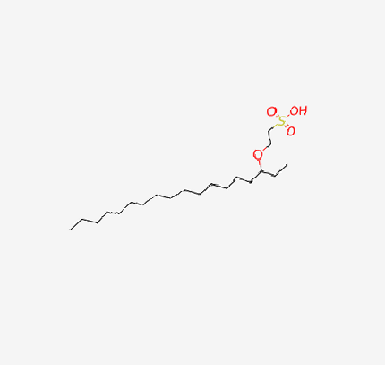 CCCCCCCCCCCCCCCC(CC)OCCS(=O)(=O)O